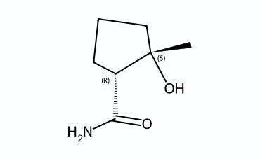 C[C@]1(O)CCC[C@H]1C(N)=O